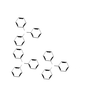 [Cl-].[Cl-].[Zn+2].c1ccc(P(c2ccccc2)c2ccccc2)cc1.c1ccc(P(c2ccccc2)c2ccccc2)cc1.c1ccc(P(c2ccccc2)c2ccccc2)cc1